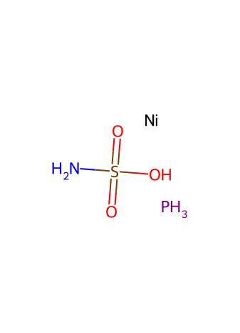 NS(=O)(=O)O.P.[Ni]